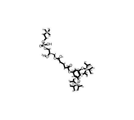 [2H]O[C@H](COC(=O)CCCC(=O)Oc1cc(O[Si](C(C)C)(C(C)C)C(C)C)cc(O[Si](C(C)C)(C(C)C)C(C)C)c1)COP(=O)(O)OCC[N+](C)(C)C